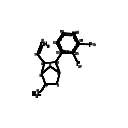 C=CC1C2CC(CC2C)C1c1ccnc(F)c1F